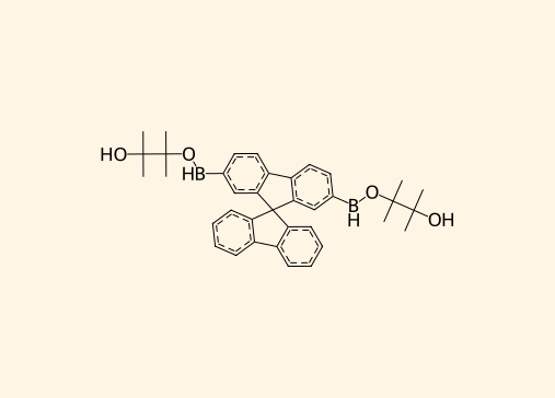 CC(C)(O)C(C)(C)OBc1ccc2c(c1)C1(c3ccccc3-c3ccccc31)c1cc(BOC(C)(C)C(C)(C)O)ccc1-2